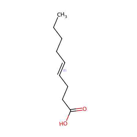 CCCC/C=C/CCC(=O)O